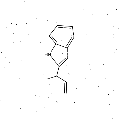 C=CC(C)c1cc2ccccc2[nH]1